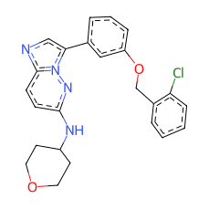 Clc1ccccc1COc1cccc(-c2cnc3ccc(NC4CCOCC4)nn23)c1